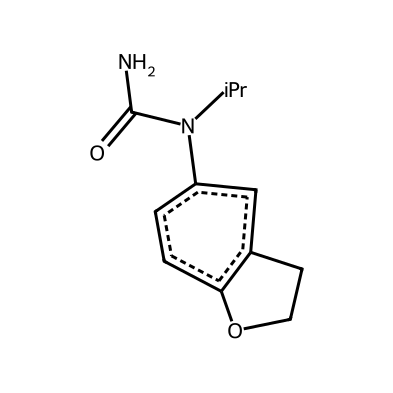 CC(C)N(C(N)=O)c1ccc2c(c1)CCO2